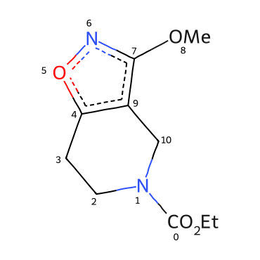 CCOC(=O)N1CCc2onc(OC)c2C1